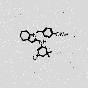 COc1ccc(Cn2c(NC3=CC(=O)CC(C)(C)C3)cc3c2CCCC3)cc1